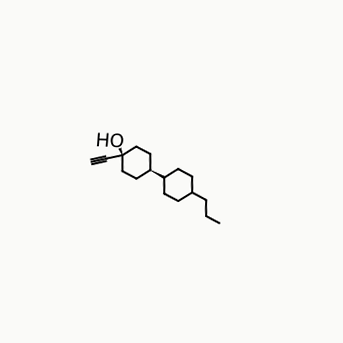 C#C[C@]1(O)CC[C@@H](C2CCC(CCC)CC2)CC1